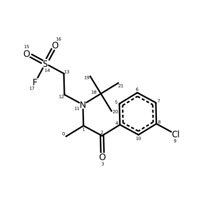 CC(C(=O)c1cccc(Cl)c1)N(CCS(=O)(=O)F)C(C)(C)C